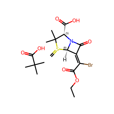 C=S1[C@@H]2C(=C(Br)C(=O)OCC)C(=O)N2[C@@H](C(=O)O)C1(C)C.CC(C)(C)C(=O)O